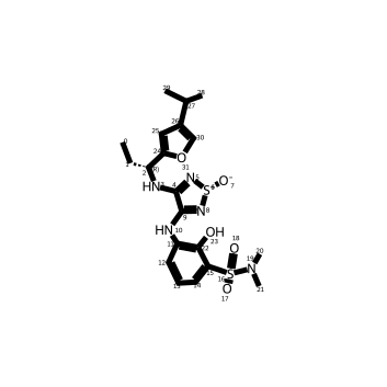 CC[C@@H](Nc1n[s+]([O-])nc1Nc1cccc(S(=O)(=O)N(C)C)c1O)c1cc(C(C)C)co1